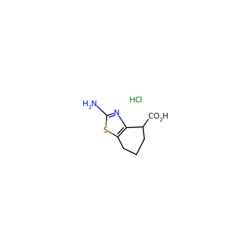 Cl.Nc1nc2c(s1)CCCC2C(=O)O